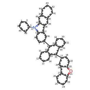 c1ccc(-n2c3ccc(-c4c5ccccc5c(-c5ccc6oc7ccccc7c6c5)c5ccccc45)cc3c3cc4ccccc4cc32)cc1